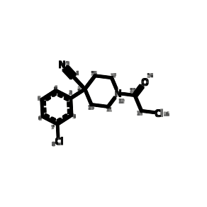 N#CC1(c2cccc(Cl)c2)CCN(C(=O)CCl)CC1